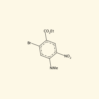 CCOC(=O)c1cc([N+](=O)[O-])c(NC)cc1Br